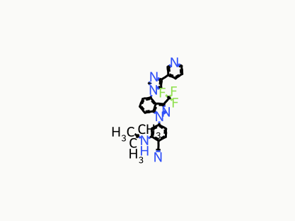 CC(C)(C)Nc1cc(-n2nc(C(F)(F)F)c3c(-n4cnc(-c5cccnc5)c4)cccc32)ccc1C#N